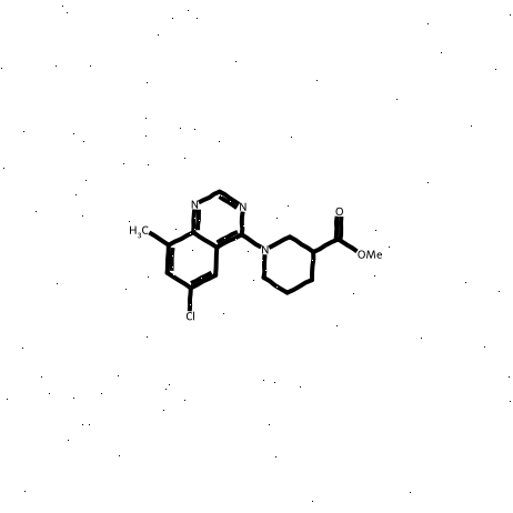 COC(=O)C1CCCN(c2ncnc3c(C)cc(Cl)cc23)C1